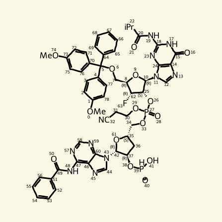 COc1ccc(C(OC[C@H]2O[C@@H](n3cnc4c(=O)[nH]c(NC(=O)C(C)C)nc43)[C@H](OP(=O)(OCCC#N)OC[C@@H]3C[C@@H](O[PH](=O)O)[C@H](n4cnc5c(NC(=O)c6ccccc6)ncnc54)O3)[C@@H]2F)(c2ccccc2)c2ccc(OC)cc2)cc1